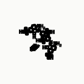 Nc1ccc2cc(S(=O)(=O)O)cc(O)c2c1N=Nc1ccc(-c2ccc(N=Nc3c(N)ccc4cc(S(=O)(=O)O)cc(O)c34)cc2S(=O)(=O)O)c(S(=O)(=O)O)c1.[Na].[Na].[Na].[Na]